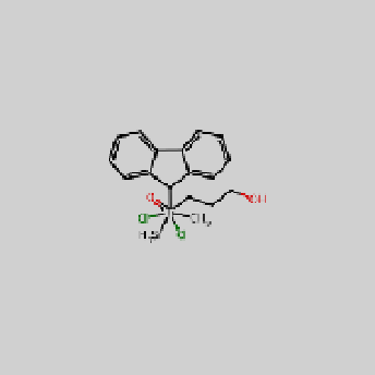 [CH3][Ti](=[O])([SiH3])([Cl])([Cl])([CH2]CCO)[CH]1c2ccccc2-c2ccccc21